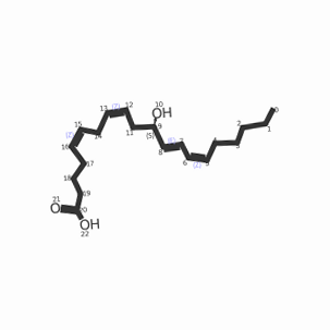 CCCCC/C=C\C=C\[C@@H](O)C/C=C\C/C=C\CCCC(=O)O